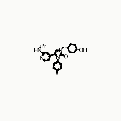 CC(C)Nc1cc(-c2cn(C[C@H]3CC[C@@H](O)CC3)c(=O)n2-c2ccc(F)cc2)ccn1